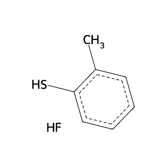 Cc1ccccc1S.F